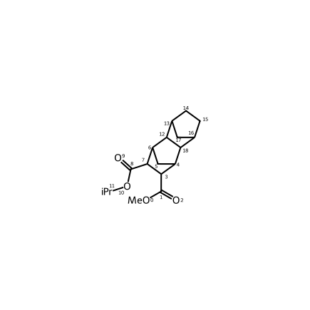 COC(=O)C1C2CC(C1C(=O)OC(C)C)C1C3CCC(C3)C21